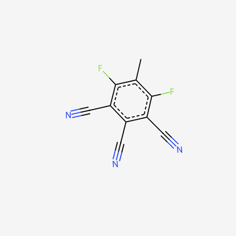 Cc1c(F)c(C#N)c(C#N)c(C#N)c1F